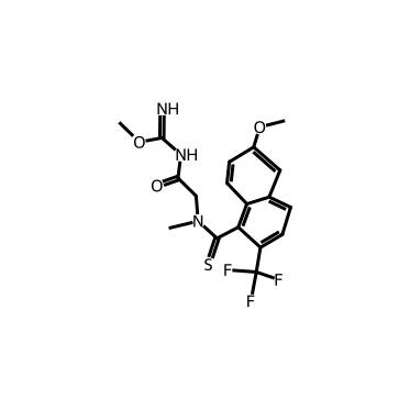 COC(=N)NC(=O)CN(C)C(=S)c1c(C(F)(F)F)ccc2cc(OC)ccc12